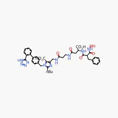 CCCCc1nc(CNC(=O)CCNC(=O)CC(NC(=O)C(Cc2ccccc2)C(=O)NO)C(=O)O)c(C(=O)O)n1Cc1ccc(-c2ccccc2-c2nnn[nH]2)cc1